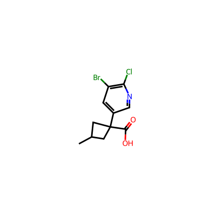 CC1CC(C(=O)O)(c2cnc(Cl)c(Br)c2)C1